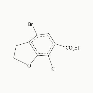 CCOC(=O)c1cc(Br)c2c(c1Cl)OCC2